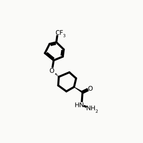 NNC(=O)[C@H]1CC[C@H](Oc2ccc(C(F)(F)F)cc2)CC1